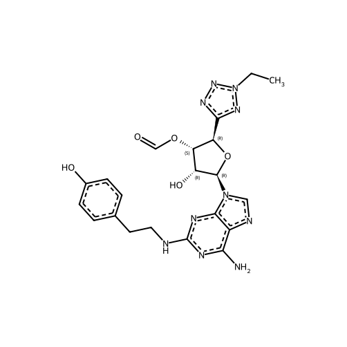 CCn1nnc([C@H]2O[C@@H](n3cnc4c(N)nc(NCCc5ccc(O)cc5)nc43)[C@H](O)[C@@H]2OC=O)n1